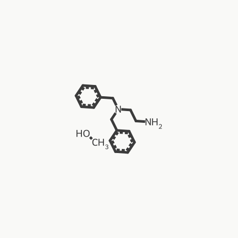 CO.NCCN(Cc1ccccc1)Cc1ccccc1